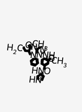 C=CCC1CN(c2ccccc2)c2nc(Nc3ccc(C(=O)N[C@@H]4CCNC4)cc3OC)ncc2N(C)C1=O